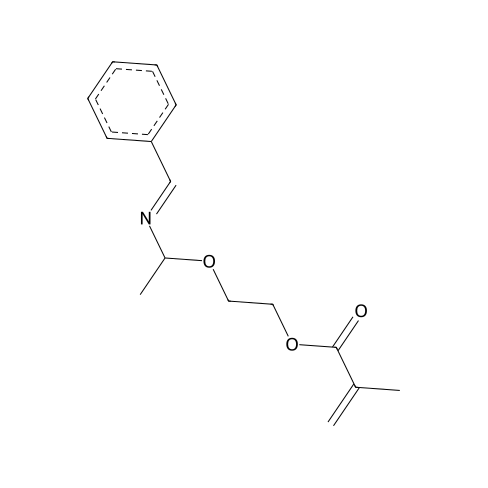 C=C(C)C(=O)OCCOC(C)N=Cc1ccccc1